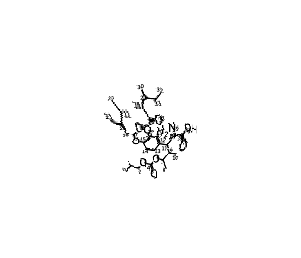 CCCOC(=O)OC(C)C(C)C(c1ccc(OC(=O)CC(C)CC)c(OC(=O)CC(C)CC)c1)[C@H](N)C(=O)O